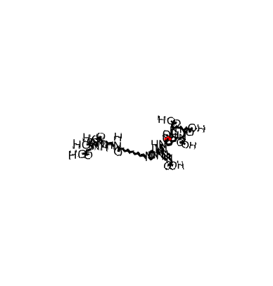 Cc1cc(CC2CN(CC(=O)O)CCN(CC(=O)O)CCN(CC(=O)O)CCN2CC(=O)O)ccc1Nc1nc(N2CCN(CCCCCCCCCCC(=O)NCCCC[C@H](NC(=O)N[C@@H](CCC(=O)O)C(=O)O)C(=O)O)CC2)nc(N2CCN(CC(=O)O)CC2)n1